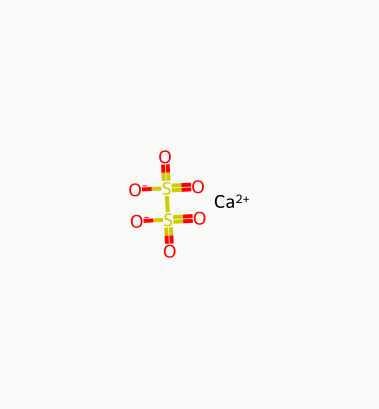 O=S(=O)([O-])S(=O)(=O)[O-].[Ca+2]